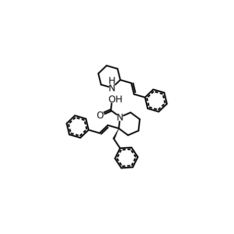 C(=CC1CCCCN1)c1ccccc1.O=C(O)N1CCCC[C@@]1(/C=C/c1ccccc1)Cc1ccccc1